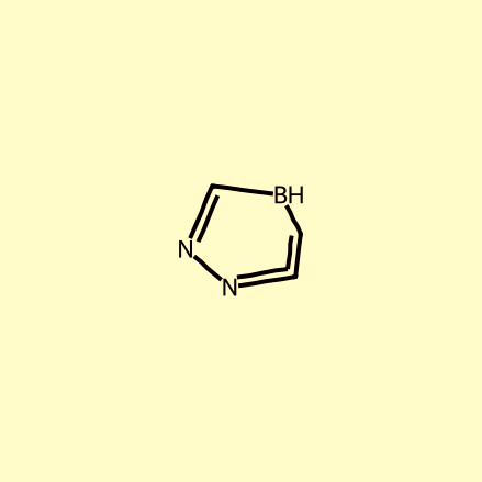 B1C=C=NN=C1